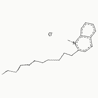 CCCCCCCCCCCc1ccc2ccccc2[n+]1C.[Cl-]